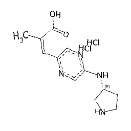 CC(=Cc1cnc(N[C@@H]2CCNC2)cn1)C(=O)O.Cl.Cl